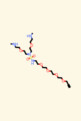 C#CCOCCOCCOCCOCCNS(=O)(=O)N(CCOCCNC)CCOCCNC